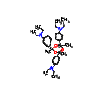 CCN(CC)c1ccc([Si]2(C)O[Si](C)(c3ccc(N(CC)CC)cc3)O[Si](C)(c3ccc(N(CC)CC)cc3)O2)cc1